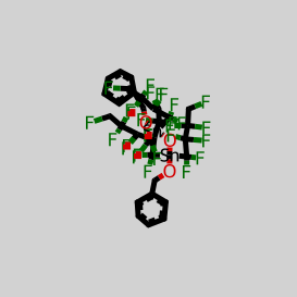 FCC(F)(F)C(F)(F)[C](F)(F)[Sn]([O]Cc1ccccc1)([O][Sn]([O]Cc1ccccc1)([C](F)(F)C(F)(F)C(F)(F)CF)[C](F)(F)C(F)(F)C(F)(F)CF)[C](F)(F)C(F)(F)C(F)(F)CF